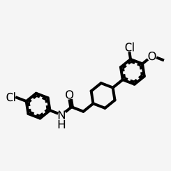 COc1ccc(C2CCC(CC(=O)Nc3ccc(Cl)cc3)CC2)cc1Cl